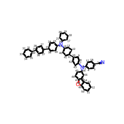 N#Cc1ccc(N(c2ccc(-c3ccc(N(c4ccccc4)c4ccc(-c5ccc(-c6ccccc6)cc5)cc4)cc3)cc2)c2ccc3oc4ccccc4c3c2)cc1